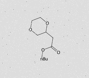 CCCCOC(=O)CC1COCCO1